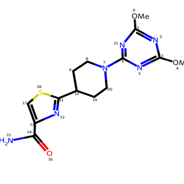 COc1nc(OC)nc(N2CCC(c3nc(C(N)=O)cs3)CC2)n1